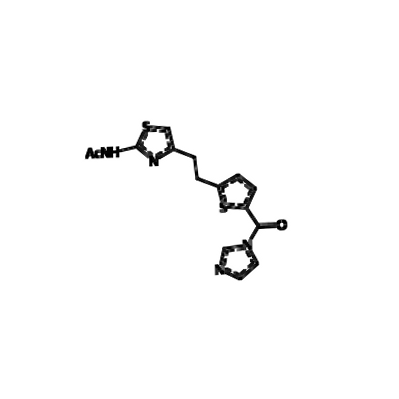 CC(=O)Nc1nc(CCc2ccc(C(=O)n3ccnc3)s2)cs1